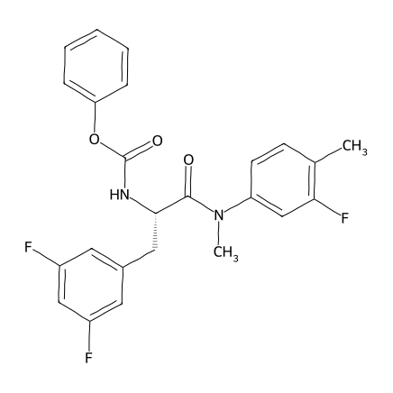 Cc1ccc(N(C)C(=O)[C@H](Cc2cc(F)cc(F)c2)NC(=O)Oc2ccccc2)cc1F